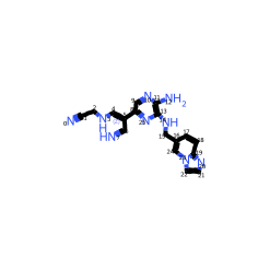 N#CCN/C=C(\C=N)c1cnc(N)c(NCc2ccc3nccn3c2)n1